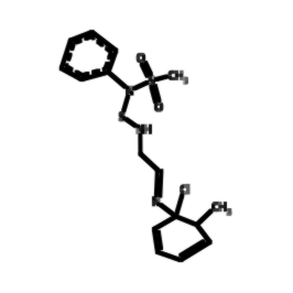 CC1C=CC=CC1(Cl)N=CCNSN(c1ccccc1)S(C)(=O)=O